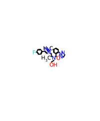 Cc1ccc(-n2nccn2)c(C(=O)N(CCO)[C@@H](C)Cn2cc(-c3ccc(F)cc3)nn2)c1